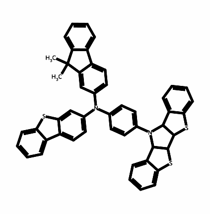 CC1(C)c2ccccc2-c2ccc(N(c3ccc(N4C5c6ccccc6SC5C5Sc6ccccc6C54)cc3)c3ccc4c(c3)sc3ccccc34)cc21